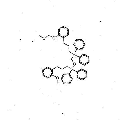 COCOc1ccccc1CCC[Si](CO[Si](CCCc1ccccc1OC)(c1ccccc1)c1ccccc1)(c1ccccc1)c1ccccc1